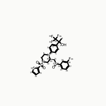 CC(O)(c1ccc(N2CCN(S(=O)(=O)c3cccs3)C[C@@H]2C[S+]([O-])c2cccc(F)c2)cc1)C(F)(F)F